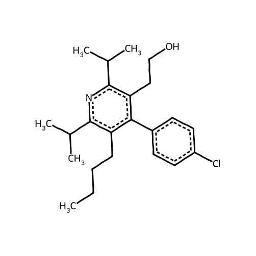 CCCCc1c(C(C)C)nc(C(C)C)c(CCO)c1-c1ccc(Cl)cc1